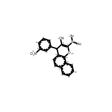 CC(=O)N(C(C)=O)C1=C(C#N)C(c2cccc([N+](=O)[O-])c2)c2ccc3ccccc3c2O1